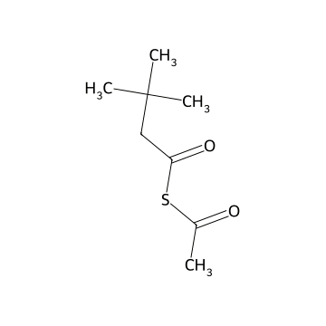 CC(=O)SC(=O)CC(C)(C)C